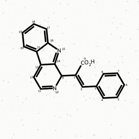 O=C(O)/C(=C\c1ccccc1)C1N=CC=C2C1=Nc1ccccc12